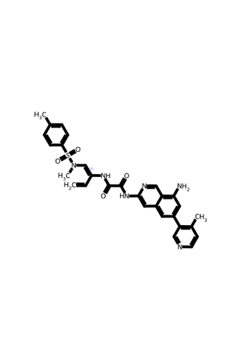 C=C/C(=C\N(C)S(=O)(=O)c1ccc(C)cc1)NC(=O)C(=O)Nc1cc2cc(-c3cnccc3C)cc(N)c2cn1